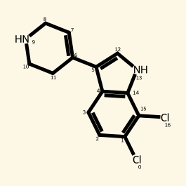 Clc1ccc2c(C3=CCNCC3)c[nH]c2c1Cl